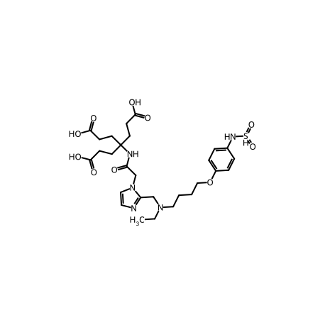 CCN(CCCCOc1ccc(N[SH](=O)=O)cc1)Cc1nccn1CC(=O)NC(CCC(=O)O)(CCC(=O)O)CCC(=O)O